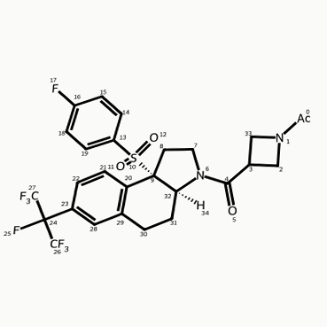 CC(=O)N1CC(C(=O)N2CC[C@]3(S(=O)(=O)c4ccc(F)cc4)c4ccc(C(F)(C(F)(F)F)C(F)(F)F)cc4CC[C@H]23)C1